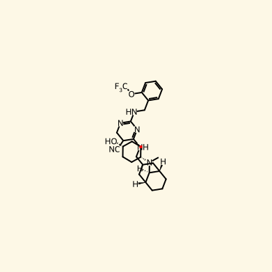 CN([C@H]1CC[C@@H](O)CC1)[C@@H]1[C@@H]2CCC[C@H]1CC(CNC1=NC(NCc3ccccc3OC(F)(F)F)=NCC1C#N)C2